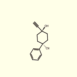 C#C[C@]1(O)CC[C@@](C#N)(c2ccccc2)CC1